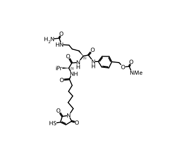 CNC(=O)OCc1ccc(NC(=O)[C@H](CCCNC(N)=O)NC(=O)[C@@H](NC(=O)CCCCCN2C(=O)C=C(S)C2=O)C(C)C)cc1